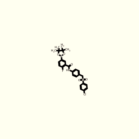 CC1(C)OB(c2ccc(F)c(C(=O)Nc3ccc(CS(=O)(=O)c4ccc(Cl)cc4)cc3)c2)OC1(C)C